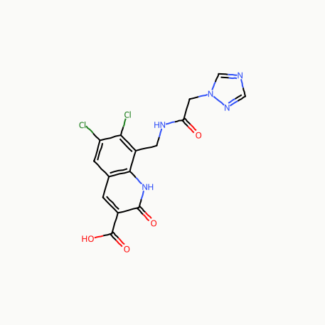 O=C(Cn1cncn1)NCc1c(Cl)c(Cl)cc2cc(C(=O)O)c(=O)[nH]c12